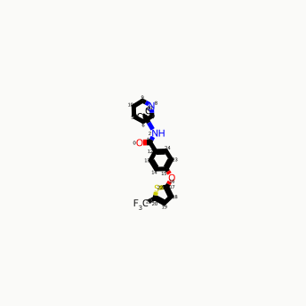 O=C(NC1CC2CCN(CC2)C1)c1ccc(Oc2ccc(C(F)(F)F)s2)cc1